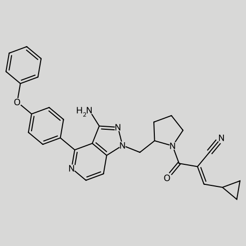 N#CC(=CC1CC1)C(=O)N1CCCC1Cn1nc(N)c2c(-c3ccc(Oc4ccccc4)cc3)nccc21